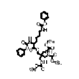 CC(C)(C)OC(=O)NCC(CNC(=O)OC(C)(C)C)(CNC(=O)OC(C)(C)C)COC(=O)C(CCCCNC(=O)Oc1ccccc1)NC(=O)Oc1ccccc1